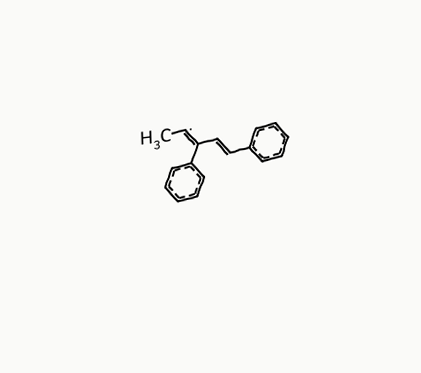 C[C]=C(C=Cc1ccccc1)c1ccccc1